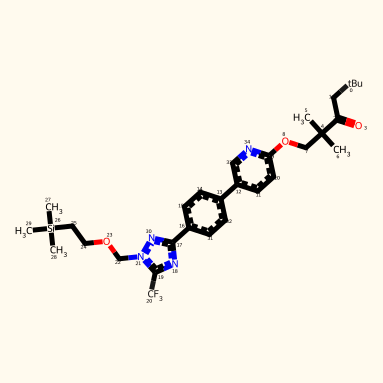 CC(C)(C)CC(=O)C(C)(C)COc1ccc(-c2ccc(-c3nc(C(F)(F)F)n(COCC[Si](C)(C)C)n3)cc2)cn1